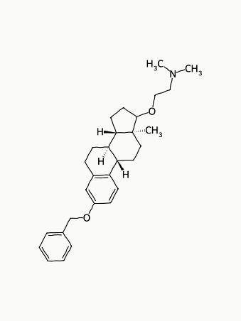 CN(C)CCOC1CC[C@H]2[C@@H]3CCc4cc(OCc5ccccc5)ccc4[C@H]3CC[C@]12C